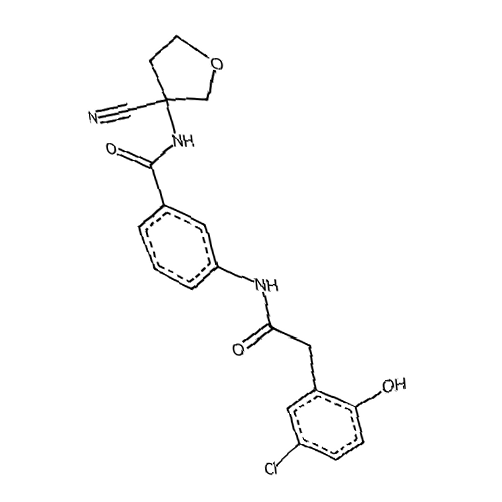 N#CC1(NC(=O)c2cccc(NC(=O)Cc3cc(Cl)ccc3O)c2)CCOC1